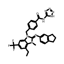 CCc1cc(C(F)(F)F)cc2c1n(C)/c(=N\c1ccc3c(c1)CCC3)n2Cc1ccc(C(=O)Nc2nnn[nH]2)cc1